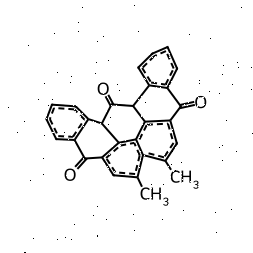 Cc1cc2c3c4c5c(cc(C)c14)C(=O)c1ccccc1C5C(=O)C3c1ccccc1C2=O